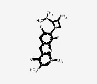 CN(C)C1C(N)CN1c1c(F)cc2cc3c(=O)c(C(=O)O)cn(C)c3nc2c1F